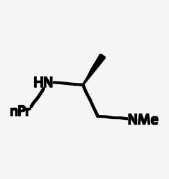 CCCN[C@@H](C)CNC